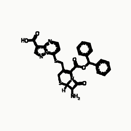 NC1C(=O)N2C(C(=O)OC(c3ccccc3)c3ccccc3)=C(CSc3ccnc4c(C(=O)O)cnn34)CS[C@@H]12